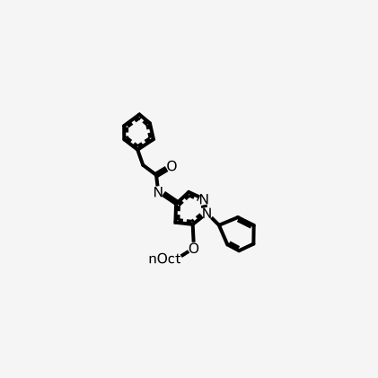 CCCCCCCCOc1cc(=NC(=O)Cc2ccccc2)cnn1C1C=CCC=C1